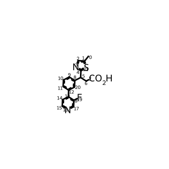 Cc1cnc(C(CC(=O)O)c2cccc(-c3ccncc3F)c2)s1